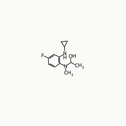 CC(O)N(C)c1ccc(F)cc1NC1CC1